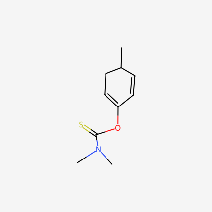 CC1C=CC(OC(=S)N(C)C)=CC1